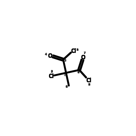 CC(Cl)(C(=O)Cl)C(=O)Cl